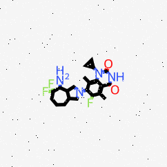 CC1=c2c(=O)[nH]c(=O)n(C3CC3)c2=C(C)C(N2CC3CCCC(F)(F)C(N)C3C2)C1F